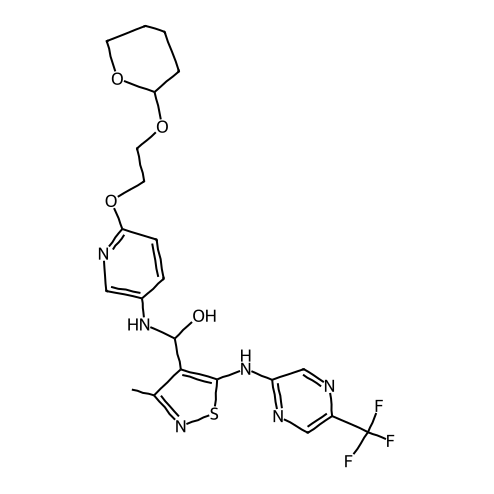 Cc1nsc(Nc2cnc(C(F)(F)F)cn2)c1C(O)Nc1ccc(OCCOC2CCCCO2)nc1